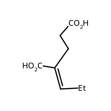 CCC=C(CCC(=O)O)C(=O)O